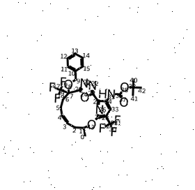 CC1C/C=C\CCC(OCc2ccccc2)(C(F)(F)F)c2nnc(o2)-c2nc(c(C(F)(F)F)cc2NC(=O)OC(C)(C)C)O1